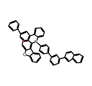 c1ccc(-c2cccc(-c3ccccc3N(c3ccc(-c4cccc(-c5ccc6ccccc6c5)c4)cc3)c3cccc4oc5ccccc5c34)c2)cc1